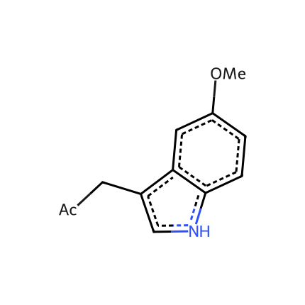 COc1ccc2[nH]cc(CC(C)=O)c2c1